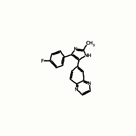 Cc1nc(-c2ccc(F)cc2)c(-c2ccc3nccnc3c2)[nH]1